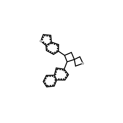 c1ccc2cc(C3C(c4ccc5occc5c4)CC34COC4)ccc2c1